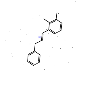 Cc1cccc(/C=C/Cc2ccccc2)c1C